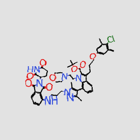 Cc1cc(OCCCc2c(C(=O)OC(C)(C)C)n(CCN3CCOCC3)c3c(-c4c(C)nn(CCCNc5cccc6c5C(=O)N(C5CCC(=O)NC5=O)C6=O)c4C)cccc23)cc(C)c1Cl